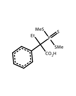 CCC(C(=O)O)(c1ccccc1)P(=S)(SC)SC